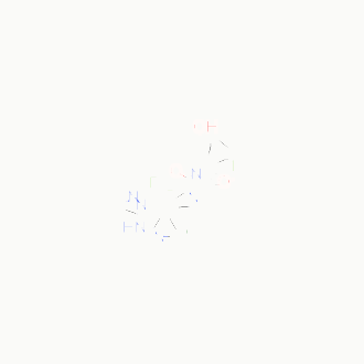 COCC1Cn2cc(-c3cc(Nc4ccnn4CC(F)F)ncc3Cl)cc2C(=O)N1Cc1cc(F)ccc1CO